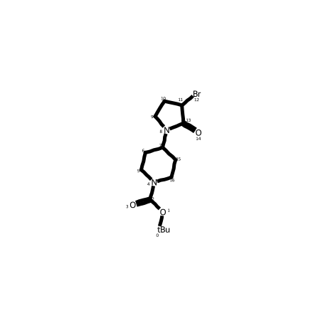 CC(C)(C)OC(=O)N1CCC(N2CCC(Br)C2=O)CC1